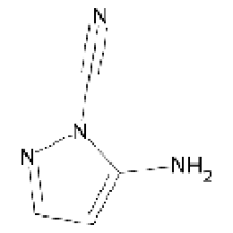 N#Cn1nccc1N